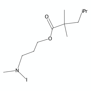 CC(C)CC(C)(C)C(=O)OCCCN(C)I